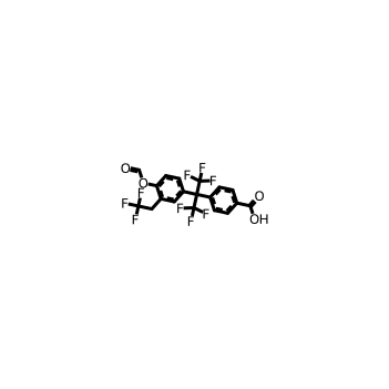 O=COc1ccc(C(c2ccc(C(=O)O)cc2)(C(F)(F)F)C(F)(F)F)cc1CC(F)(F)F